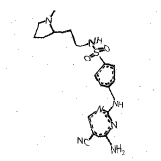 CN1CCCC1CCNS(=O)(=O)c1ccc(Nc2ncc(C#N)c(N)n2)cc1